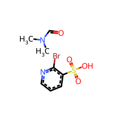 CN(C)C=O.O=S(=O)(O)c1cccnc1Br